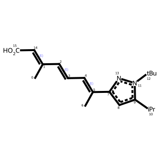 CC(/C=C/C=C(\C)c1cc(C(C)C)n(C(C)(C)C)n1)=C\C(=O)O